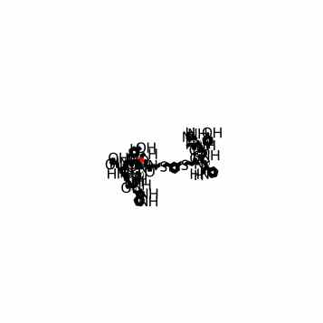 CCC[C@H](NC(=O)[C@H](Cc1ccc(O)cc1)NC(=O)[C@H](CCC(=O)O)NC(=O)CNC(=O)[C@H](Cc1c[nH]c2c1C=CCN2)NC(=O)C[C@@H](C)O)C(=O)N[C@H](C(=O)NCCSCc1cccc(CSCCC(=O)N[C@H](C(=O)N[C@@H](Cc2ccc(O)cc2)C(=O)N[C@@H](Cc2cnc[nH]2)C(=O)NC)[C@@H](C)c2c[nH]c3ccccc23)c1)[C@@H](C)O